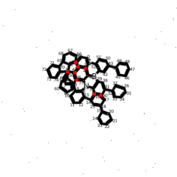 c1ccc(-c2cccc(-c3cccc(-c4cccc(-c5ccccc5)c4)c3N3c4ccc(-c5ccccc5)cc4B4c5cc(-c6ccccc6)ccc5Sc5cc(C6(c7ccccc7)c7ccccc7-c7ccccc76)cc3c54)c2)cc1